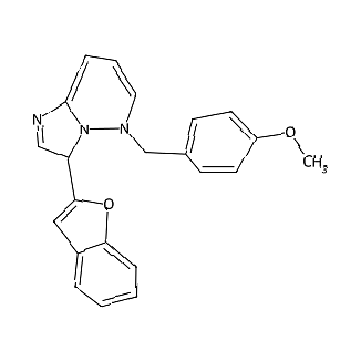 COc1ccc(CN2C=CC=C3N=CC(c4cc5ccccc5o4)N32)cc1